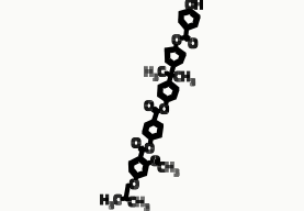 COc1cc(OCC(C)C)ccc1C(=O)Oc1ccc(C(=O)Oc2ccc(C(C)(C)c3ccc(OC(=O)c4ccc(O)cc4)cc3)cc2)cc1